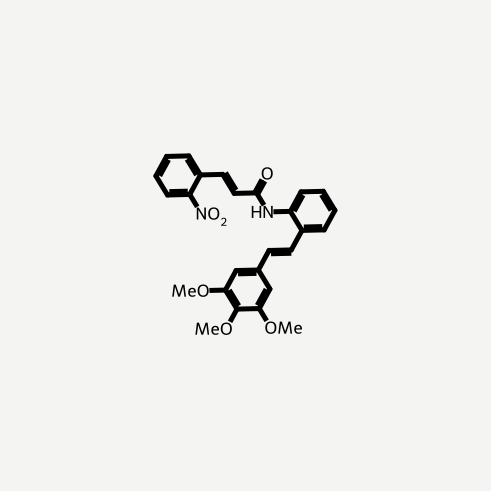 COc1cc(C=Cc2ccccc2NC(=O)/C=C/c2ccccc2[N+](=O)[O-])cc(OC)c1OC